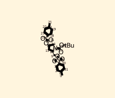 Cc1ccc(S(=O)(=O)OC[C@@H]2C[C@@H](OS(=O)(=O)c3ccc(C)cc3)CN2C(=O)OC(C)(C)C)cc1